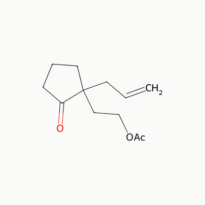 C=CCC1(CCOC(C)=O)CCCC1=O